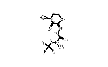 CN1CCOC(=NOC(=O)N(C)SC(F)(F)F)C1=O